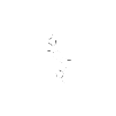 O=C1OC2(CCN(C(=O)c3ccc([N+](=O)[O-])cc3Cl)CC2)CN1Cc1cccc(Br)c1